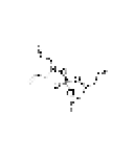 C=CCN(CC=C)OP(=O)(Cl)ON(CC=C)CC=C